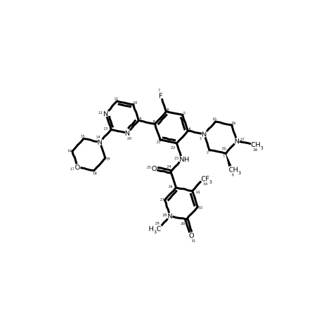 C[C@H]1CN(c2cc(F)c(-c3ccnc(N4CCOCC4)n3)cc2NC(=O)c2cn(C)c(=O)cc2C(F)(F)F)CCN1C